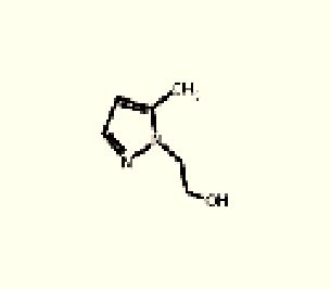 Cc1ccnn1CCO